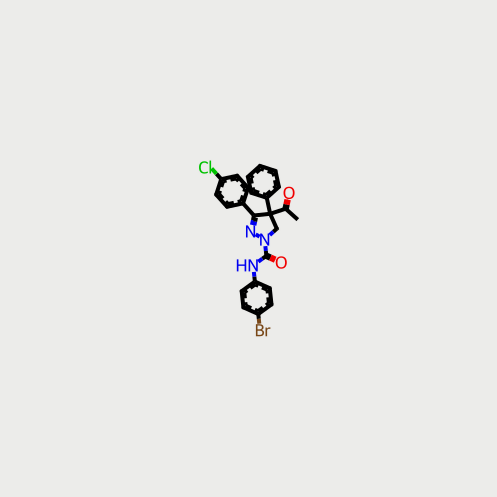 CC(=O)C1(c2ccccc2)CN(C(=O)Nc2ccc(Br)cc2)N=C1c1ccc(Cl)cc1